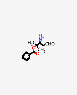 CC(C)(OC(=O)c1ccccc1)C(N)CC=O